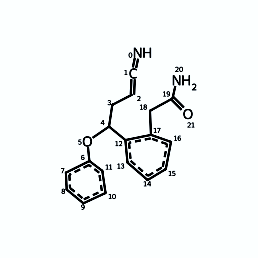 N=C=CCC(Oc1ccccc1)c1ccccc1CC(N)=O